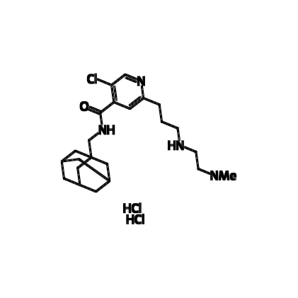 CNCCNCCCc1cc(C(=O)NCC23CC4CC(CC(C4)C2)C3)c(Cl)cn1.Cl.Cl